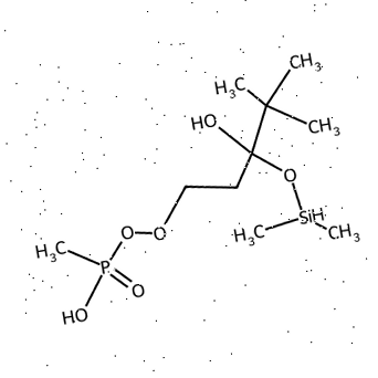 C[SiH](C)OC(O)(CCOOP(C)(=O)O)C(C)(C)C